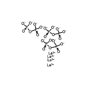 O=P([O-])([O-])OP(=O)([O-])[O-].O=P([O-])([O-])OP(=O)([O-])[O-].O=P([O-])([O-])OP(=O)([O-])[O-].[La+3].[La+3].[La+3].[La+3]